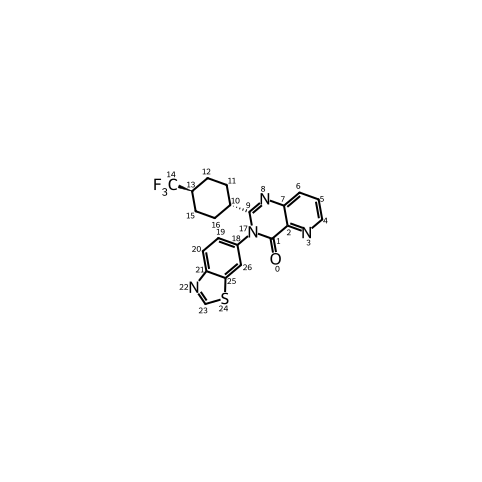 O=c1c2ncccc2nc([C@H]2CC[C@H](C(F)(F)F)CC2)n1-c1ccc2ncsc2c1